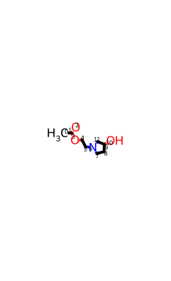 CC(=O)OCCN1CCC(O)C1